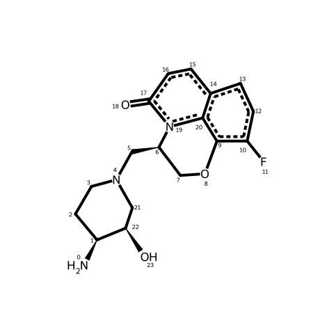 N[C@H]1CCN(C[C@@H]2COc3c(F)ccc4ccc(=O)n2c34)C[C@H]1O